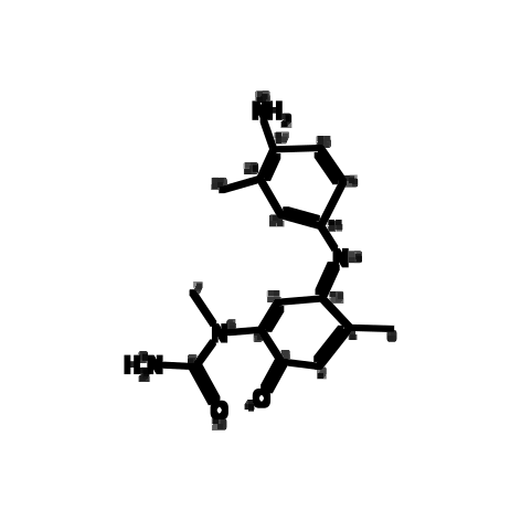 CC1=CC(=O)C(N(C)C(N)=O)=CC1=Nc1ccc(N)c(C)c1